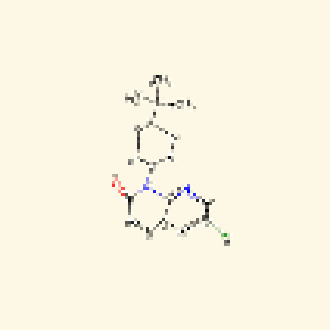 CC(C)(C)C1CCC(N2C(=O)C=CC3C=C(Br)C=NC32)CC1